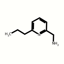 CCCc1cccc(CN)n1